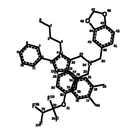 CCCCn1c(-c2ccccc2)nc(-c2ccc(C)c(C)c2)c1CN(Cc1cccc(OC(F)(F)C(F)F)c1)Cc1ccc2c(c1)OCO2